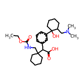 CCOC(=O)NCC1(C(C(=O)O)c2cccc(C3(O)CCCCC3CN(C)C)c2)CCCCC1